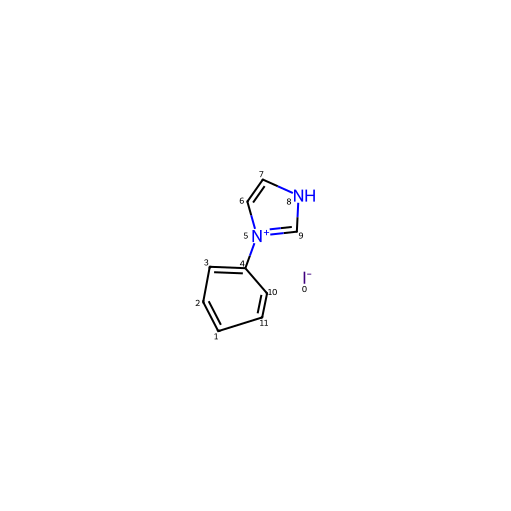 [I-].c1ccc(-[n+]2cc[nH]c2)cc1